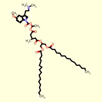 CCCCCCCCCCCCCCCC(=O)OCC(COC(=O)CCCCCCCCCCCCCCC)OC(=O)CC(C)CC(=O)OC(C)OC(=O)n1cc(CCN(C)C)c2cc(OC)ccc21